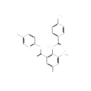 CN(C)c1cc(Cl)cc(C(=O)Nc2ccc(Cl)cn2)c1NC(=O)c1ccc(C#N)cc1